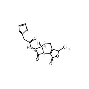 CC1OC(=O)C2=C1CS[C@H]1[C@H](NC(=O)Cc3cccs3)C(=O)N21